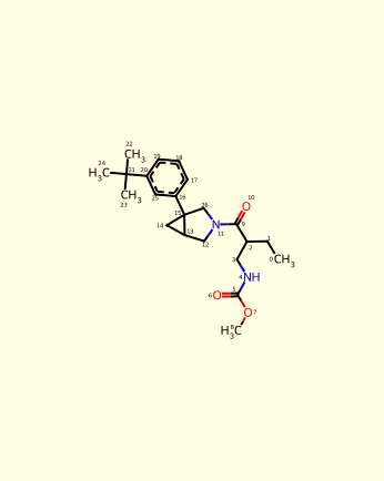 CCC(CNC(=O)OC)C(=O)N1CC2CC2(c2cccc(C(C)(C)C)c2)C1